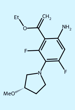 C=C(OCC)c1c(N)cc(F)c(N2CC[C@H](OC)C2)c1F